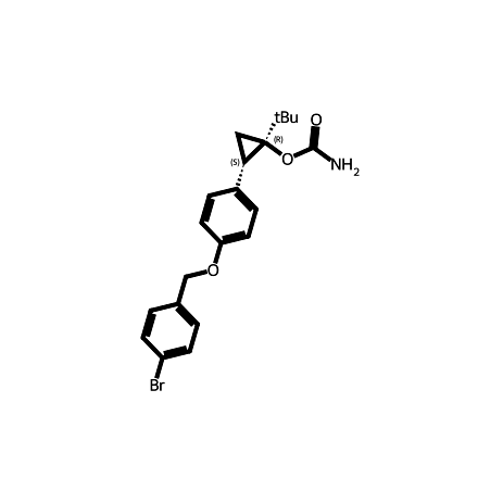 CC(C)(C)[C@@]1(OC(N)=O)C[C@H]1c1ccc(OCc2ccc(Br)cc2)cc1